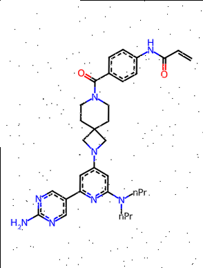 C=CC(=O)Nc1ccc(C(=O)N2CCC3(CC2)CN(c2cc(-c4cnc(N)nc4)nc(N(CCC)CCC)c2)C3)cc1